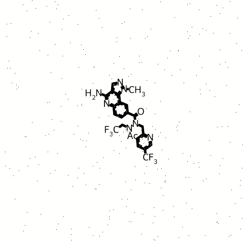 CC(=O)N(CC(F)(F)F)N(Cc1ccc(C(F)(F)F)cn1)C(=O)c1ccc2nc(N)c3cnn(C)c3c2c1